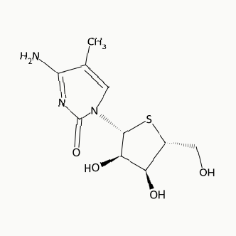 Cc1cn([C@@H]2S[C@H](CO)[C@@H](O)[C@H]2O)c(=O)nc1N